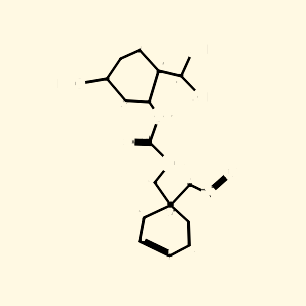 CC1CCC(C(C)C)C(OC(=O)OCC2(CN=O)CC=CCC2)C1